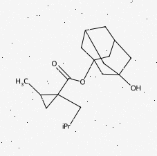 CC(C)CC1(C(=O)OC23CC4CC(CC(O)(C4)C2)C3)CC1C